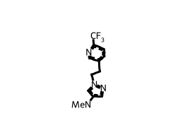 CNc1cnn(CCc2ccc(C(F)(F)F)nc2)c1